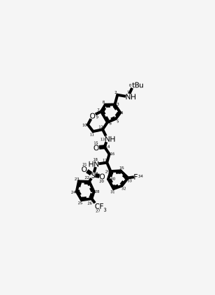 CC(C)(C)NCc1ccc2c(c1)OCCC2NC(=O)CC(NS(=O)(=O)c1cccc(C(F)(F)F)c1)c1cccc(F)c1